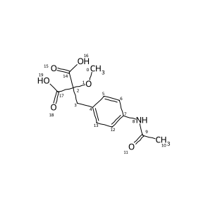 COC(Cc1ccc(NC(C)=O)cc1)(C(=O)O)C(=O)O